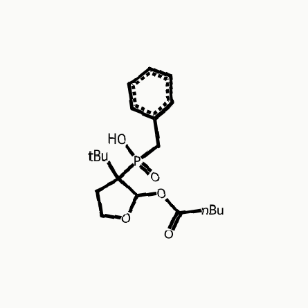 CCCCC(=O)OC1OCCC1(C(C)(C)C)P(=O)(O)Cc1ccccc1